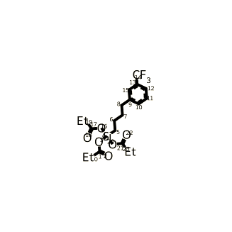 CCC(=O)O[Si](CCCCc1cccc(C(F)(F)F)c1)(OC(=O)CC)OC(=O)CC